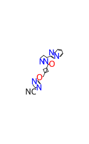 N#Cc1cnc(OCC23CC(C(=O)N4N=CCC4c4cn5ccccc5n4)(C2)C3)cn1